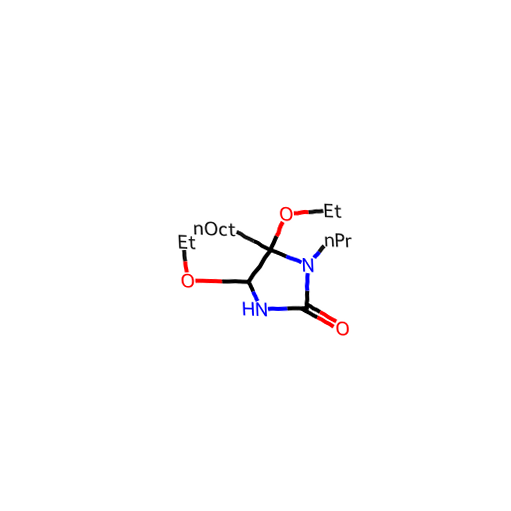 CCCCCCCCC1(OCC)C(OCC)NC(=O)N1CCC